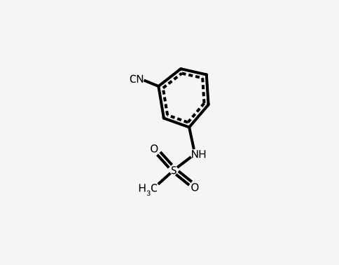 [C-]#[N+]c1cccc(NS(C)(=O)=O)c1